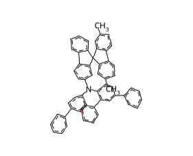 Cc1ccc2c(c1)C1(c3ccccc3-c3ccc(N(c4ccc(-c5ccccc5)cc4)c4ccc(-c5ccccc5)cc4-c4ccccc4)cc31)c1cc(C)ccc1-2